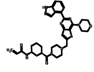 C=CC(=O)N[C@H]1CCC[C@@H](C(=O)N2CCN(Cc3cc4nc(-c5cccc6[nH]ncc56)nc(N5CCOCC5)c4s3)CC2)C1